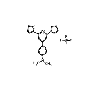 CN(C)c1ccc(-c2cc(-c3cccs3)[o+]c(-c3cccs3)c2)cc1.F[B-](F)(F)F